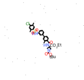 CCOC(=O)C1(NC(=O)c2ccc(-c3cccc(NS(=O)(=O)c4cc(C)c(Cl)cc4C)c3)cc2C)CN(C(=O)OC(C)(C)C)C1